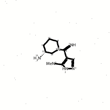 CNc1[nH]ncc1C(=N)N1CCC[C@@H](N)C1